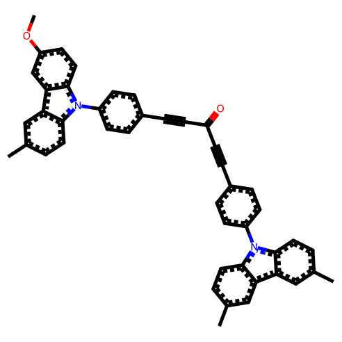 COc1ccc2c(c1)c1cc(C)ccc1n2-c1ccc(C#CC(=O)C#Cc2ccc(-n3c4ccc(C)cc4c4cc(C)ccc43)cc2)cc1